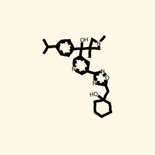 CC(C)c1ccc(C(O)(c2cncc(-c3noc(CC4(O)CCCCC4)n3)c2)C2(C)CN(C)C2)cc1